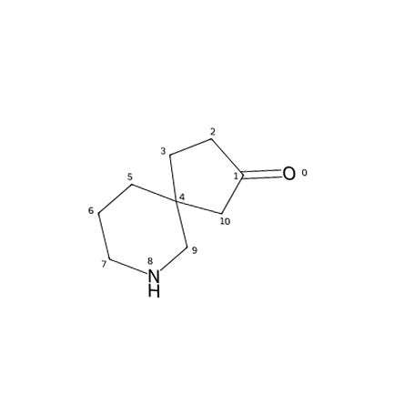 O=C1CCC2(CCCNC2)C1